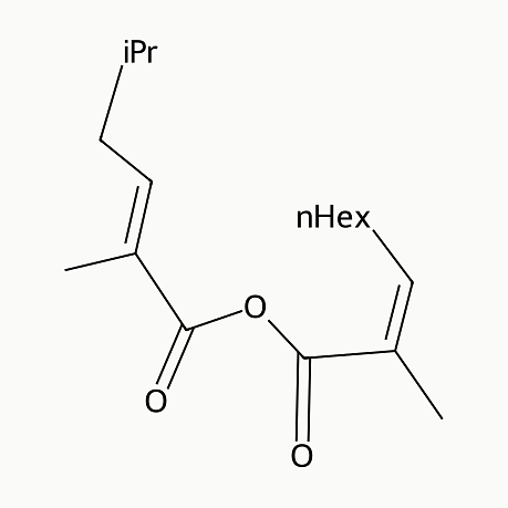 CCCCCCC=C(C)C(=O)OC(=O)C(C)=CCC(C)C